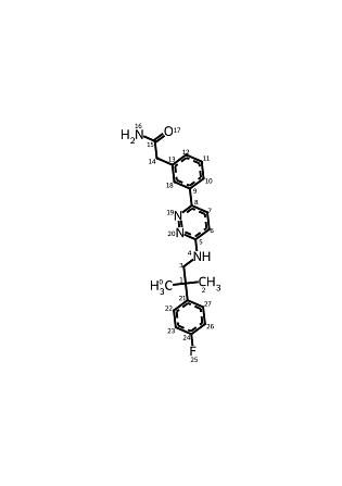 CC(C)(CNc1ccc(-c2cccc(CC(N)=O)c2)nn1)c1ccc(F)cc1